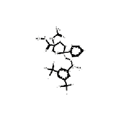 CNC(=O)[C@]1(NC(C)=O)CC[C@@](CO[C@H](C)c2cc(C(F)(F)F)cc(C(F)(F)F)c2)(c2ccccc2)NC1